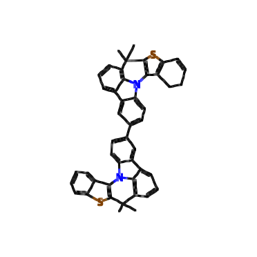 CC1(C)c2sc3c(c2-n2c4ccc(-c5ccc6c(c5)c5cccc7c5n6-c5c(sc6ccccc56)C7(C)C)cc4c4cccc1c42)CCC=C3